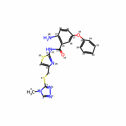 Cn1cnnc1SCc1csc(NC(=O)c2cc(Oc3ccccc3)ccc2N)n1